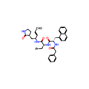 CC(C)C[C@H](NC(=O)[C@H](Cc1cccc2ccccc12)NC(=O)Cc1ccccc1)C(=O)N[C@H](/C=C/C=O)C[C@@H]1CCNC1=O